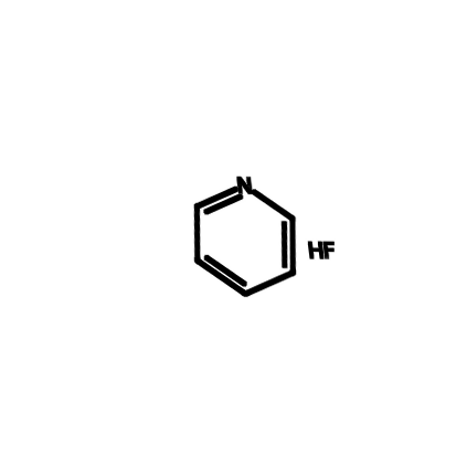 F.c1ccncc1